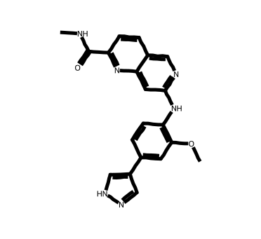 CNC(=O)c1ccc2cnc(Nc3ccc(-c4cn[nH]c4)cc3OC)cc2n1